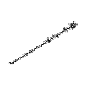 [N-]=[N+]=NCCOCCOCCOCCOCCOCCOCCOCCOCCOCCNC(=O)CCCCCNC(=O)CCCCCNC(=O)CCCC[C@@H]1SC[C@@H]2NC(=O)N[C@@H]21